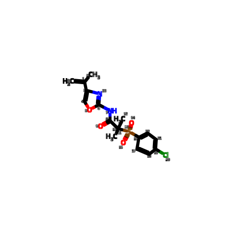 C=C(C)c1coc(NC(=O)C(C)(C)S(=O)(=O)c2ccc(Cl)cc2)n1